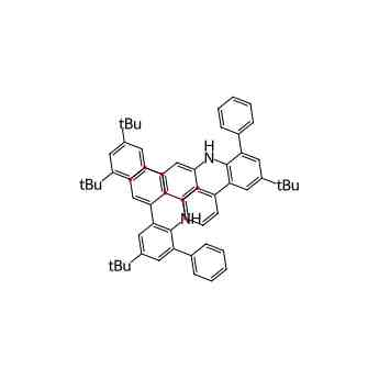 CC(C)(C)c1cc(-c2cc(Nc3c(-c4ccccc4)cc(C(C)(C)C)cc3-c3ccccc3)cc(Nc3c(-c4ccccc4)cc(C(C)(C)C)cc3-c3ccccc3)c2)cc(C(C)(C)C)c1